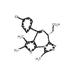 Cc1sc2c(c1C)C(c1ccc(Cl)cc1)=N[C@H](CC(=O)O)c1nnc(C)n1-2